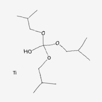 CC(C)COC(O)(OCC(C)C)OCC(C)C.[Ti]